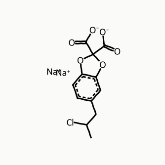 CC(Cl)Cc1ccc2c(c1)OC(C(=O)[O-])(C(=O)[O-])O2.[Na+].[Na+]